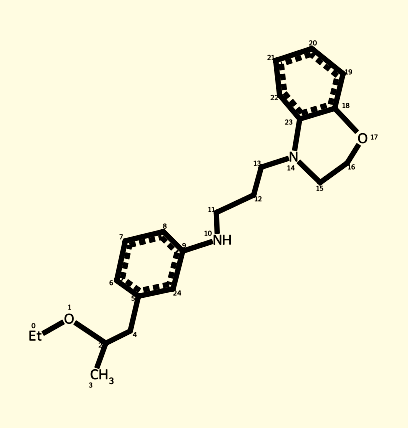 CCOC(C)Cc1cccc(NCCCN2CCOc3ccccc32)c1